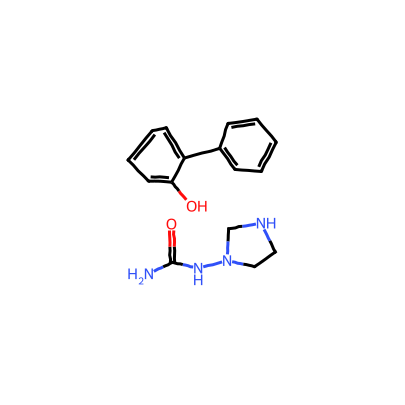 NC(=O)NN1CCNC1.Oc1ccccc1-c1ccccc1